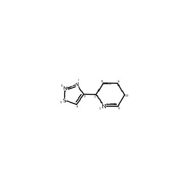 C1=NC(c2csnn2)CCC1